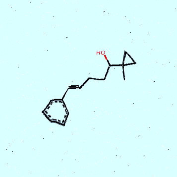 CC1(C(O)CC/C=C/c2ccccc2)CC1